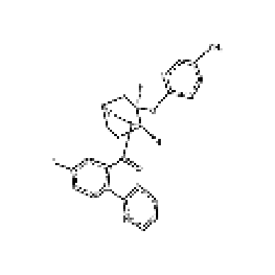 Cc1ccc(O[C@@H]2CC3CC[C@@H]2N(C(=O)c2cc(F)ccc2-c2ncccn2)C3)nc1